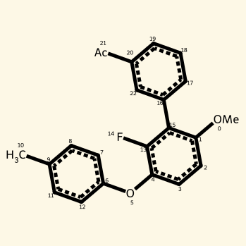 COc1ccc(Oc2ccc(C)cc2)c(F)c1-c1cccc(C(C)=O)c1